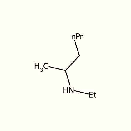 [CH2]CNC(C)CCCC